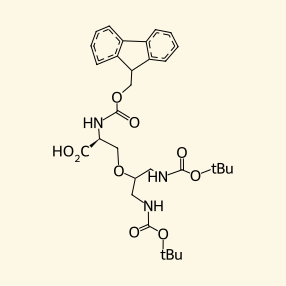 CC(C)(C)OC(=O)NCC(CNC(=O)OC(C)(C)C)OC[C@H](NC(=O)OCC1c2ccccc2-c2ccccc21)C(=O)O